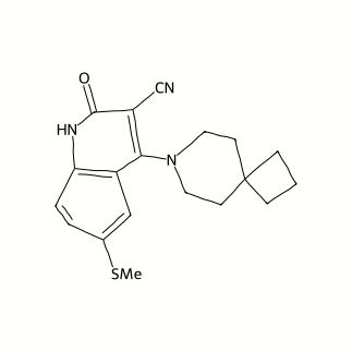 CSc1ccc2[nH]c(=O)c(C#N)c(N3CCC4(CCC4)CC3)c2c1